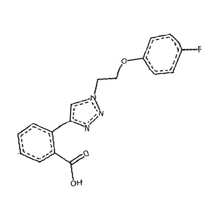 O=C(O)c1c[c]ccc1-c1cn(CCOc2ccc(F)cc2)nn1